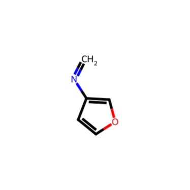 C=Nc1ccoc1